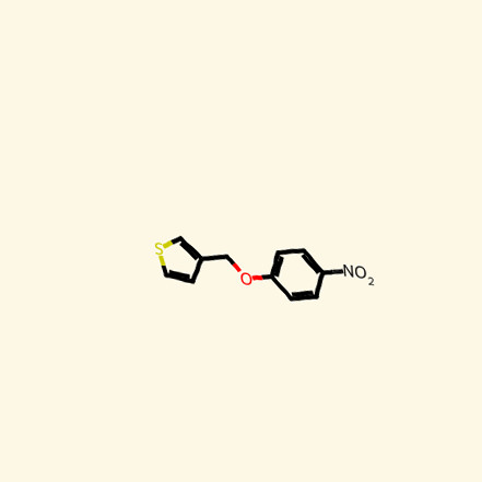 O=[N+]([O-])c1ccc(OCc2ccsc2)cc1